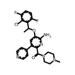 CC(Oc1cc(-c2ccncc2)c(C(=O)N2CCN(C)CC2)nc1N)c1c(F)ccc(F)c1Cl